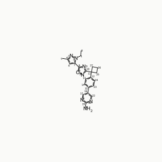 CCn1nc(C)cc1-c1nc(C2(c3ccc(-c4cnc(N)nc4)cc3)CCC2)no1